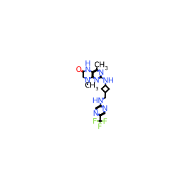 Cc1nc(NC2CC(CNc3cnc(C(F)(F)F)cn3)C2)nc2c1NC(=O)CN2C